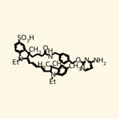 CCN1/C(=C/C=C/C=C/C2=[N+](CC)c3ccc(C)cc3C2(C)C)C(C)(CCCC(=O)NCc2ccc(COc3nccc(N)n3)cc2)c2cc(S(=O)(=O)O)ccc21